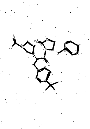 O=C(O)N1CC[C@H](C(Cc2ccc(C(F)(F)F)cc2)C(=O)N2C(=O)OC[C@@H]2Cc2ccccc2)C1